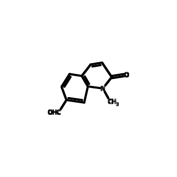 Cn1c(=O)ccc2ccc(C=O)cc21